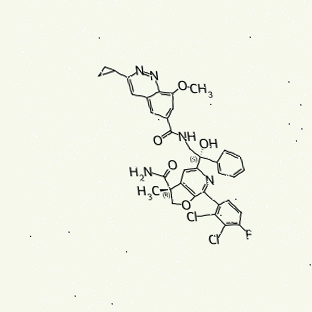 COc1cc(C(=O)NC[C@@](O)(c2ccccc2)c2cc3c(c(-c4ccc(F)c(Cl)c4Cl)n2)OC[C@]3(C)C(N)=O)cc2cc(C3CC3)nnc12